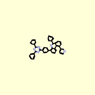 c1ccc(-c2nc(-c3ccccc3)nc(-c3ccc(-c4cccc5c4nc(-c4ccccc4)c4cccc(-c6cccnc6)c45)cc3)n2)cc1